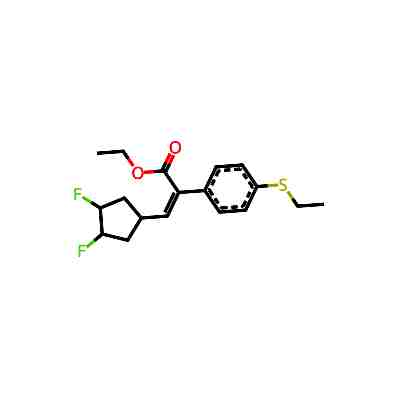 CCOC(=O)/C(=C\C1CC(F)C(F)C1)c1ccc(SCC)cc1